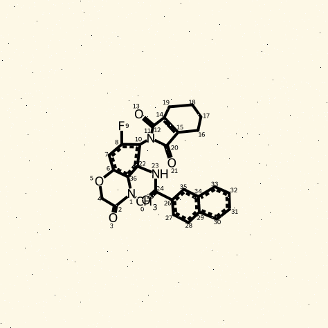 CN1C(=O)COc2cc(F)c(N3C(=O)C4=C(CCCC4)C3=O)c(NC(=O)c3ccc4ccccc4c3)c21